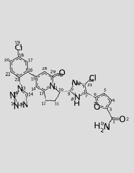 NC(=O)c1ccc(-c2[nH]c([C@@H]3CCc4cc(-c5cc(Cl)ccc5-n5cnnn5)cc(=O)n43)nc2Cl)o1